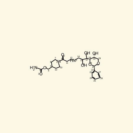 NC(=O)OCC1CCN(C(=O)CCNCC(O)C(O)[C@@H]2O[C@H](c3ccccc3)OC[C@H]2O)CC1